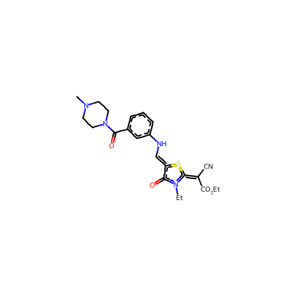 CCOC(=O)C(C#N)=c1sc(=CNc2cccc(C(=O)N3CCN(C)CC3)c2)c(=O)n1CC